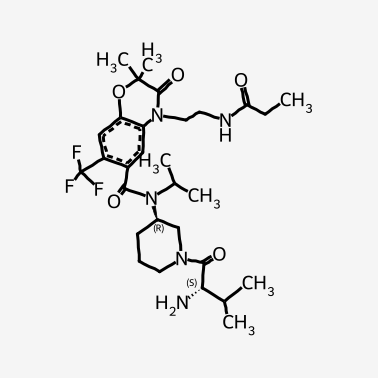 CCC(=O)NCCN1C(=O)C(C)(C)Oc2cc(C(F)(F)F)c(C(=O)N(C(C)C)[C@@H]3CCCN(C(=O)[C@@H](N)C(C)C)C3)cc21